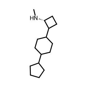 CN[C@@H]1CCC1C1CCC(C2CCCC2)CC1